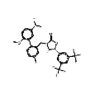 COc1ccc([S+](C)[O-])cc1-c1ccc(C)cc1CN1C(=O)O[C@H](c2cc(C(F)(F)F)cc(C(F)(F)F)c2)[C@@H]1C